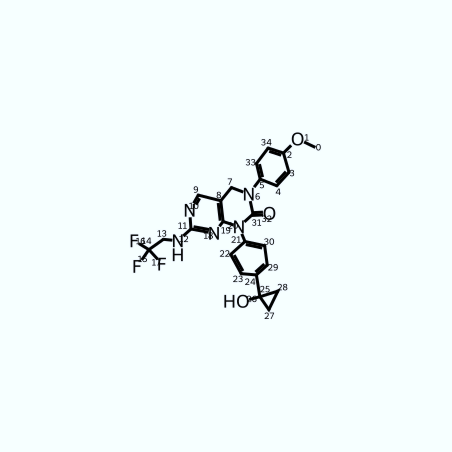 COc1ccc(N2Cc3cnc(NCC(F)(F)F)nc3N(c3ccc(C4(O)CC4)cc3)C2=O)cc1